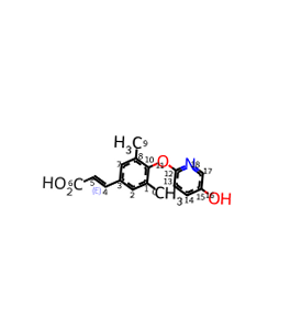 Cc1cc(/C=C/C(=O)O)cc(C)c1Oc1ccc(O)cn1